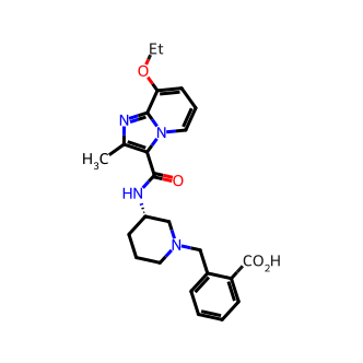 CCOc1cccn2c(C(=O)N[C@H]3CCCN(Cc4ccccc4C(=O)O)C3)c(C)nc12